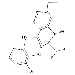 [2H]N1c2cc(C=C)cnc2C(Nc2cccc(Br)c2Cl)=NC1C(F)F